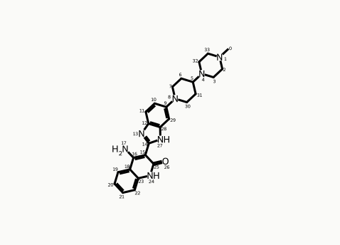 CN1CCN(C2CCN(c3ccc4nc(-c5c(N)c6ccccc6[nH]c5=O)[nH]c4c3)CC2)CC1